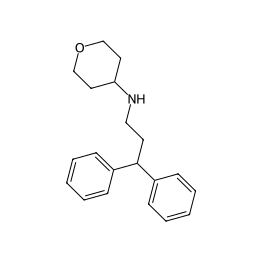 c1ccc(C(CCNC2CCOCC2)c2ccccc2)cc1